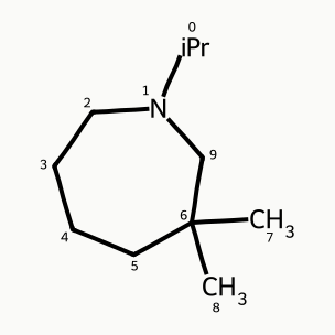 CC(C)N1CCCCC(C)(C)C1